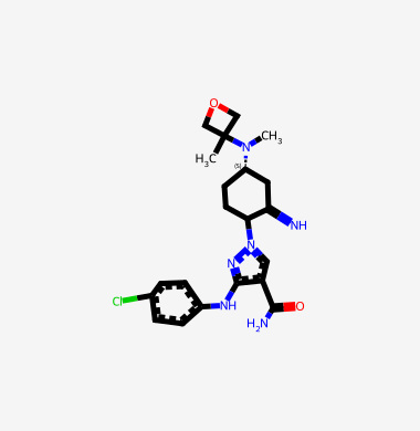 CN([C@H]1CCC(n2cc(C(N)=O)c(Nc3ccc(Cl)cc3)n2)C(=N)C1)C1(C)COC1